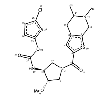 CO[C@H]1CN(C(=O)c2cc3c(s2)CN(C)C(C)C3)C[C@@H]1NC(=O)Oc1ccc(Cl)s1